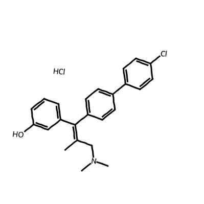 C/C(CN(C)C)=C(/c1ccc(-c2ccc(Cl)cc2)cc1)c1cccc(O)c1.Cl